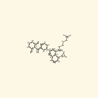 CN(C)CCCCNc1nc(-c2ccnc(Nc3c(F)cccc3F)c2)nc2cncc(C3CC3)c12